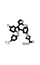 COC(=O)C1CN(c2cccc(-c3c(-c4ccsc4C#N)c4cc(F)ccc4n3Sc3ccc(C(F)(F)F)cc3)c2)C1